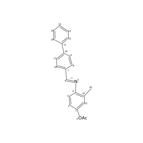 CC(=O)Oc1ccc(/N=C/c2ccc(-c3ccccc3)cc2)c(C)c1